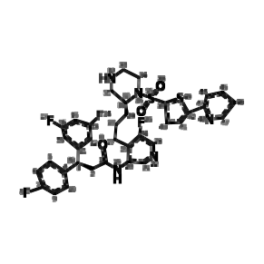 O=C(C[C@@H](c1ccc(F)cc1)c1cc(F)cc(F)c1)Nc1cncc(F)c1CCC[C@H]1CNCCN1S(=O)(=O)c1ccc(-c2ccccn2)s1